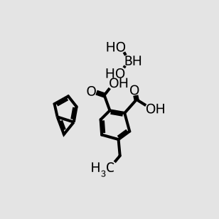 CCc1ccc(C(=O)O)c(C(=O)O)c1.OBO.c1cc2cc-2c1